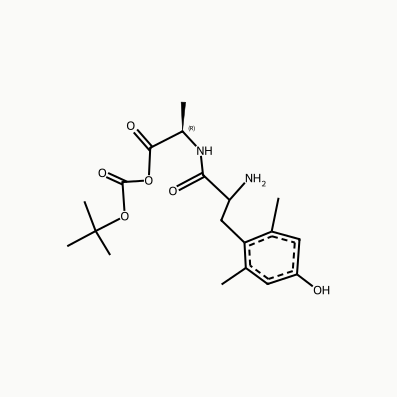 Cc1cc(O)cc(C)c1CC(N)C(=O)N[C@H](C)C(=O)OC(=O)OC(C)(C)C